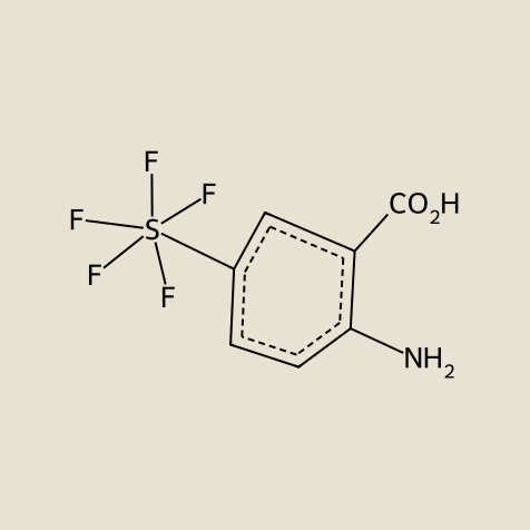 Nc1ccc(S(F)(F)(F)(F)F)cc1C(=O)O